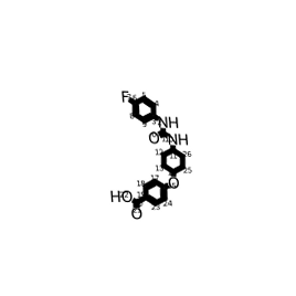 O=C(Nc1ccc(F)cc1)NC1CCC(Oc2ccc(C(=O)O)cc2)CC1